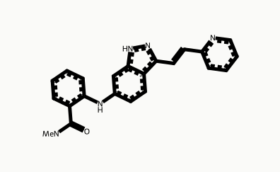 CNC(=O)c1ccccc1Nc1ccc2c(/C=C/c3ccccn3)n[nH]c2c1